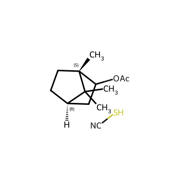 CC(=O)OC1C[C@H]2CC[C@@]1(C)C2(C)C.N#CS